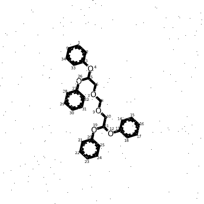 c1ccc(OC(COCOCC(Oc2ccccc2)Oc2ccccc2)Oc2ccccc2)cc1